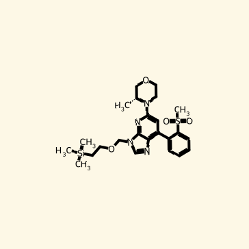 C[C@@H]1COCCN1c1cc(-c2ccccc2S(C)(=O)=O)c2ncn(COCC[Si](C)(C)C)c2n1